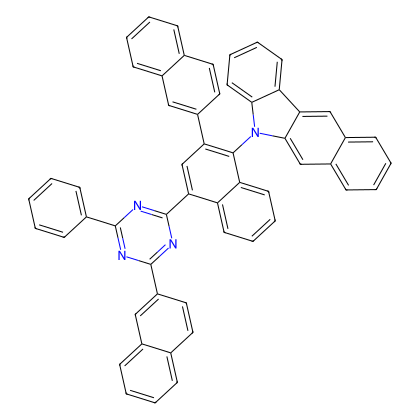 c1ccc(-c2nc(-c3ccc4ccccc4c3)nc(-c3cc(-c4ccc5ccccc5c4)c(-n4c5ccccc5c5cc6ccccc6cc54)c4ccccc34)n2)cc1